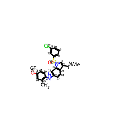 CNCc1cn([S+]([O-])c2cccc(Cl)c2)c2cc(Nc3ccc(OC(F)(F)F)cc3C)ccc12